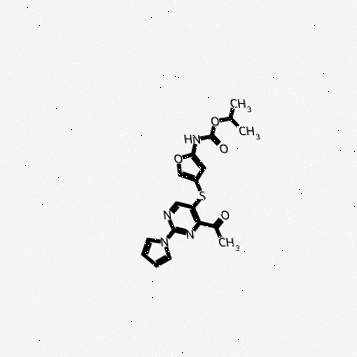 CC(=O)c1nc(-n2cccc2)ncc1Sc1coc(NC(=O)OC(C)C)c1